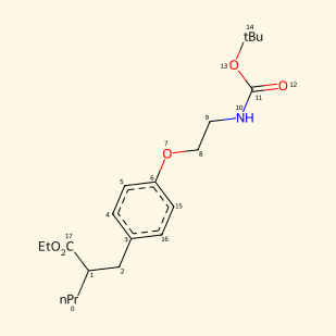 CCCC(Cc1ccc(OCCNC(=O)OC(C)(C)C)cc1)C(=O)OCC